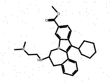 COC(=O)c1ccc2c(C3CCCCC3)c3n(c2c1)CC(NCCN(C)C)Cc1ccccc1-3